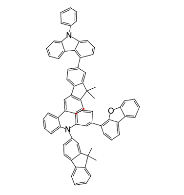 CC1(C)c2ccc(-c3ccccc3N(c3cccc(-c4cccc5c4oc4ccccc45)c3)c3ccc4c(c3)C(C)(C)c3ccccc3-4)cc2-c2ccc(-c3cccc4c3c3ccccc3n4-c3ccccc3)cc21